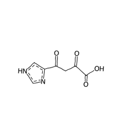 O=C(O)C(=O)CC(=O)c1c[nH]cn1